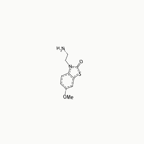 COc1ccc2c(c1)sc(=O)n2CCN